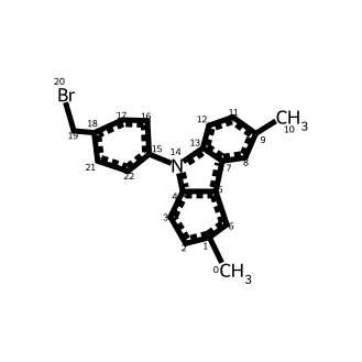 Cc1ccc2c(c1)c1cc(C)ccc1n2-c1ccc(CBr)cc1